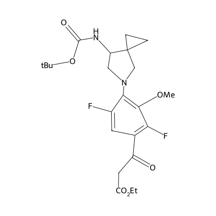 CCOC(=O)CC(=O)c1cc(F)c(N2CC(NC(=O)OC(C)(C)C)C3(CC3)C2)c(OC)c1F